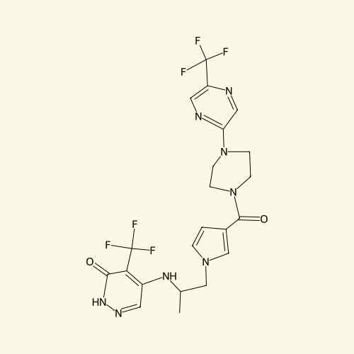 CC(Cn1ccc(C(=O)N2CCN(c3cnc(C(F)(F)F)cn3)CC2)c1)Nc1cn[nH]c(=O)c1C(F)(F)F